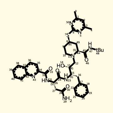 Cc1cc(C)nc(S[C@@H]2CCN(C[C@@H](O)[C@H](Cc3ccccc3)NC(=O)[C@H](CC(N)=O)NC(=O)c3ccc4ccccc4n3)[C@H](C(=O)NC(C)(C)C)C2)n1